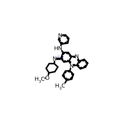 COC1CCC(/N=c2\cc3n(-c4ccc(C)cc4)c4ccccc4nc-3cc2Nc2cccnc2)CC1